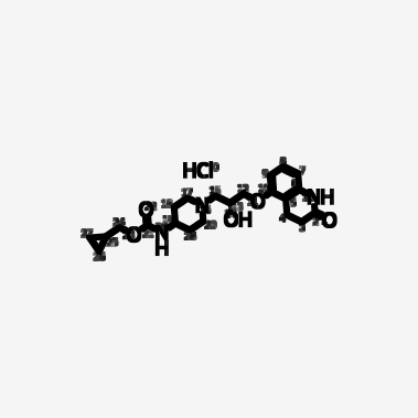 Cl.O=C1CCc2c(cccc2OC[C@H](O)CN2CCC(NC(=O)OCC3CC3)CC2)N1